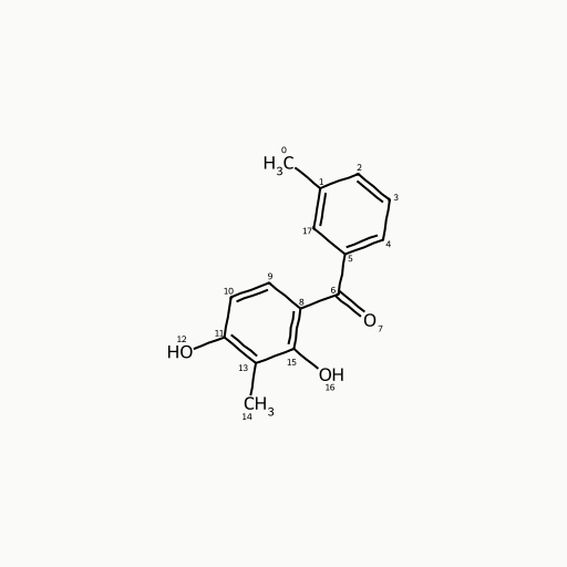 Cc1cccc(C(=O)c2ccc(O)c(C)c2O)c1